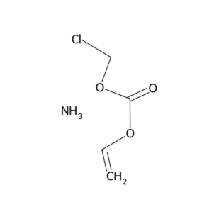 C=COC(=O)OCCl.N